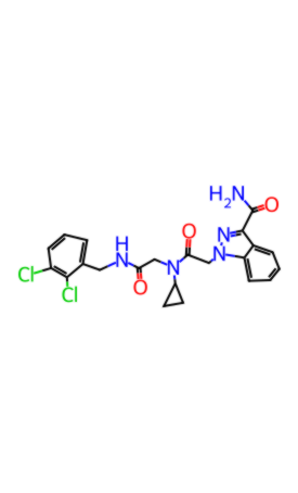 NC(=O)c1nn(CC(=O)N(CC(=O)NCc2cccc(Cl)c2Cl)C2CC2)c2ccccc12